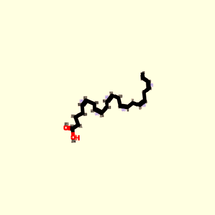 CC/C=C\C/C=C\C/C=C\C/C=C\C/C=C\C/C=C\CCCC(=O)O